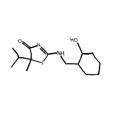 CC(C)C1(C)SC(NCC2CCCCC2O)=NC1=O